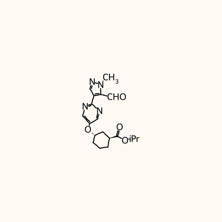 CC(C)OC(=O)[C@H]1CCC[C@H](Oc2cnc(-c3cnn(C)c3C=O)nc2)C1